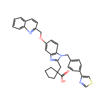 O=C(O)C1(Cc2nc3cc(OCc4ccc5ccccc5n4)ccc3n2Cc2ccc(-c3cscn3)cc2)CCCC1